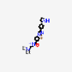 CCN(CC)CCCNC(=O)c1ccc2c(c1)sc1nc(-c3ccc([C@H]4CCCN4)cc3)cn12